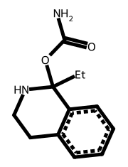 CCC1(OC(N)=O)NCCc2ccccc21